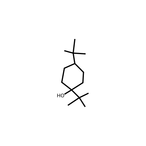 CC(C)(C)C1CCC(O)(C(C)(C)C)CC1